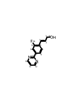 OC/C=C/c1ccc(-c2ncccn2)cc1F